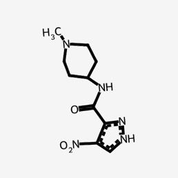 CN1CCC(NC(=O)c2n[nH]cc2[N+](=O)[O-])CC1